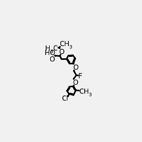 Cc1cc(Cl)ccc1OCC(F)COc1cccc(CC(OC(C)C)C(=O)O)c1